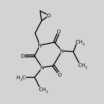 CC(C)n1c(=O)n(CC2CO2)c(=O)n(C(C)C)c1=O